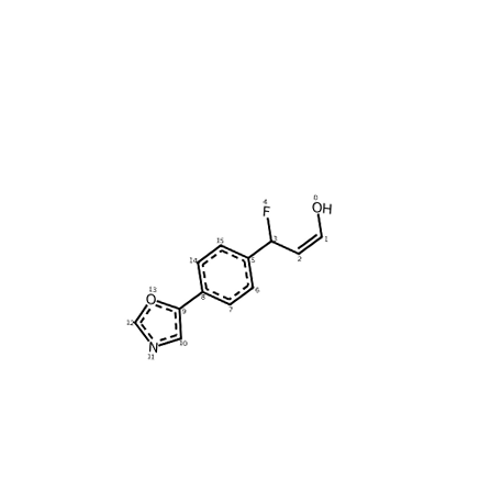 O/C=C\C(F)c1ccc(-c2cnco2)cc1